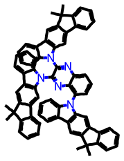 CC1(C)c2ccccc2-c2cc3c(cc21)c1ccccc1n3-c1nc2cccc(-n3c4ccccc4c4cc5c(cc43)-c3ccccc3C5(C)C)c2nc1-n1c2ccccc2c2cc3c(cc21)-c1ccccc1C3(C)C